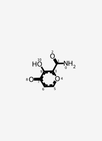 NC(=O)c1occc(=O)c1O